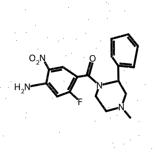 CN1CCN(C(=O)c2cc([N+](=O)[O-])c(N)cc2F)C(c2ccccc2)C1